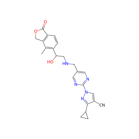 Cc1c(C(O)CNCc2cnc(-n3cc(C#N)c(C4CC4)n3)nc2)ccc2c1COC2=O